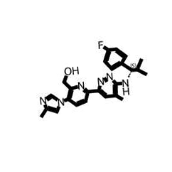 Cc1cn(-c2ccc(-c3cc(C)c(N[C@H](c4ccc(F)cc4)C(C)C)nn3)nc2CO)cn1